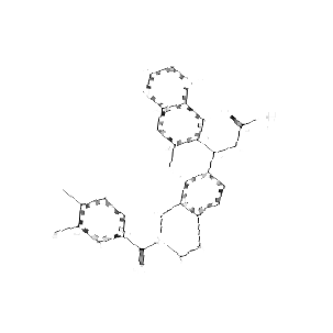 Cc1ccc(C(=O)N2CCc3ccc(C(CC(=O)O)c4cc5nccnc5cc4C)cc3C2)cc1C